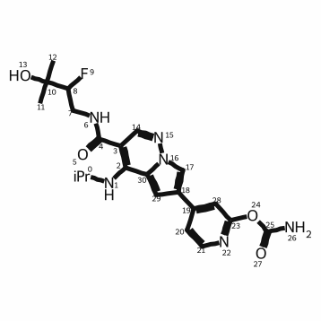 CC(C)Nc1c(C(=O)NCC(F)C(C)(C)O)cnn2cc(-c3ccnc(OC(N)=O)c3)cc12